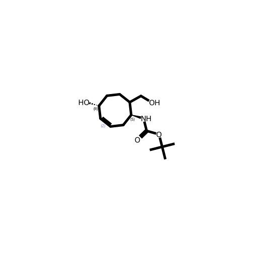 CC(C)(C)OC(=O)N[C@H]1C/C=C\[C@H](O)CCC1CO